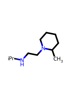 CC(C)NCCN1CCCCC1C